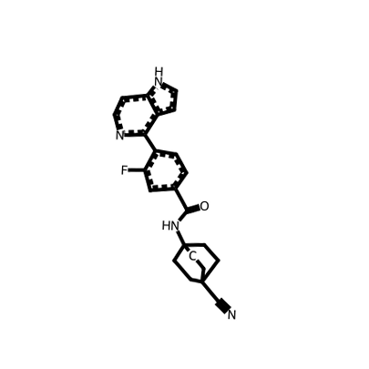 N#CC12CCC(NC(=O)c3ccc(-c4nccc5[nH]ccc45)c(F)c3)(CC1)CC2